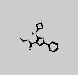 CCOC(=O)c1cc(-c2ccccc2)sc1NC1CCC1